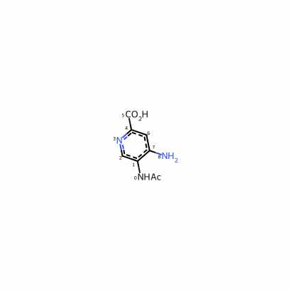 CC(=O)Nc1cnc(C(=O)O)cc1N